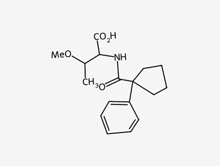 COC(C)C(NC(=O)C1(c2ccccc2)CCCC1)C(=O)O